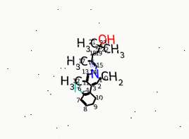 C=C1C=C(C2=C(F)C=CCC2)C(C)=CN1/C=C(\C)CCC(C)(C)O